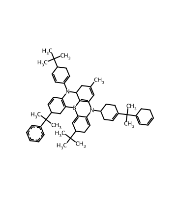 CC1=CC2=C3B(C4=CC(C(C)(C)C)CC=C4N2C2CC=C(C(C)(C)C4=CC=CCC4)CC2)C2=C(C=CC(C(C)(C)c4ccccc4)C2)N(C2=CCC(C(C)(C)C)C=C2)C3C1